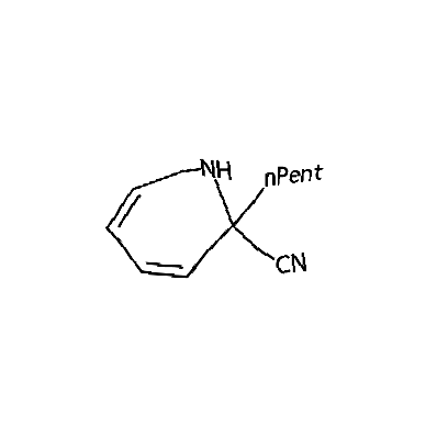 CCCCCC1(C#N)C=CC=CN1